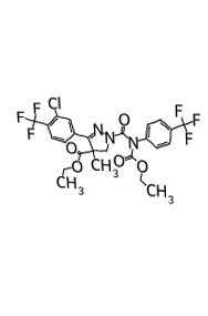 CCOC(=O)N(C(=O)N1CC(C)(C(=O)OCC)C(c2ccc(C(F)(F)F)c(Cl)c2)=N1)c1ccc(C(F)(F)F)cc1